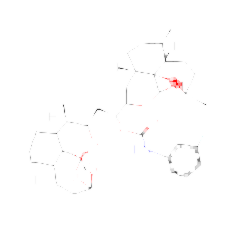 C[C@H]1[C@@H](C[C@H](OC(=O)Nc2cccc(F)c2)C2O[C@@H]3O[C@]4(C)CC[C@H]5[C@H](C)CC[C@@H]([C@H]2C)[C@@]35OO4)O[C@@H]2O[C@]3(C)CC[C@H]4[C@H](C)CC[C@@H]1[C@@]24OO3